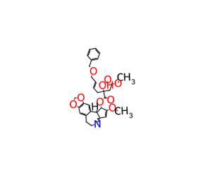 COC(=O)CC(O)(C/C=C/COCc1ccccc1)C(=O)O[C@@H]1C(OC)=C[C@]23CCCN2CCc2cc4c(cc2[C@H]13)OCO4